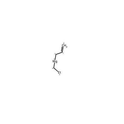 C=C[CH2][Mg][CH2]CC